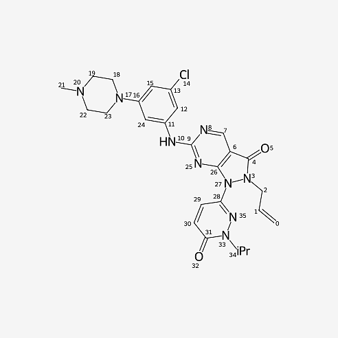 C=CCn1c(=O)c2cnc(Nc3cc(Cl)cc(N4CCN(C)CC4)c3)nc2n1-c1ccc(=O)n(C(C)C)n1